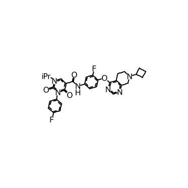 CC(C)n1cc(C(=O)Nc2ccc(Oc3ncnc4c3CCN(C3CCC3)C4)c(F)c2)c(=O)n(-c2ccc(F)cc2)c1=O